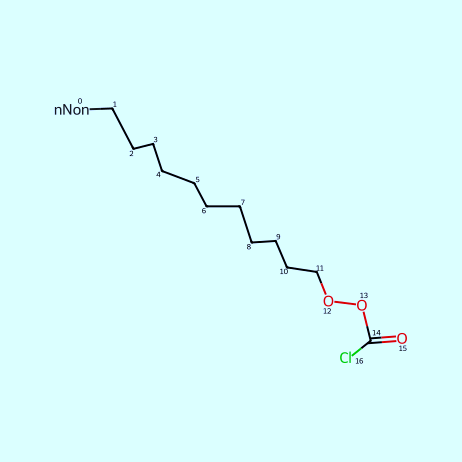 CCCCCCCCCCCCCCCCCCCCOOC(=O)Cl